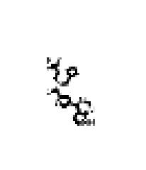 O=C(c1cc(-c2ncnc3[nH]ccc23)co1)N(CCC(F)(F)F)CC1CCC1